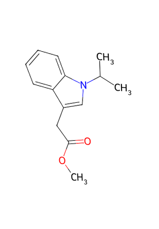 COC(=O)Cc1cn(C(C)C)c2ccccc12